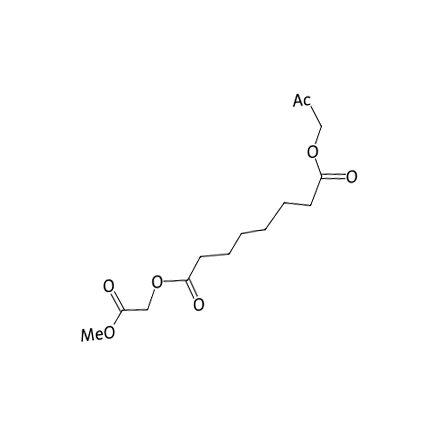 COC(=O)COC(=O)CCCCCCC(=O)OCC(C)=O